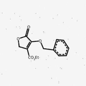 CCOC(=O)C1=C(OCc2ccccc2)C(=O)OC1